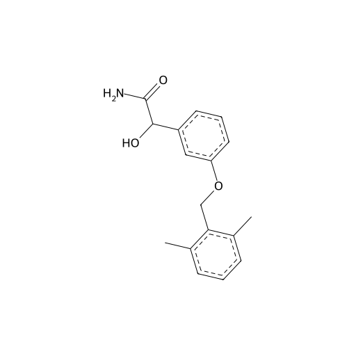 Cc1cccc(C)c1COc1cccc(C(O)C(N)=O)c1